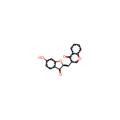 O=C1C(=Cc2coc3ccccc3c2=O)Oc2cc(O)ccc21